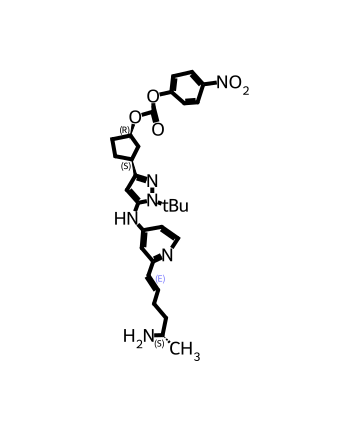 C[C@H](N)CC/C=C/c1cc(Nc2cc([C@H]3CC[C@@H](OC(=O)Oc4ccc([N+](=O)[O-])cc4)C3)nn2C(C)(C)C)ccn1